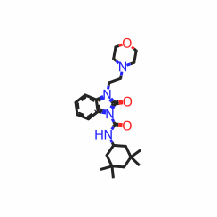 CC1(C)CC(NC(=O)n2c(=O)n(CCN3CCOCC3)c3ccccc32)CC(C)(C)C1